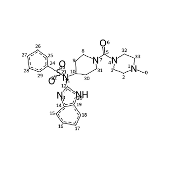 CN1CCN(C(=O)N2CCC(N(c3nc4ccccc4[nH]3)S(=O)(=O)c3ccccc3)CC2)CC1